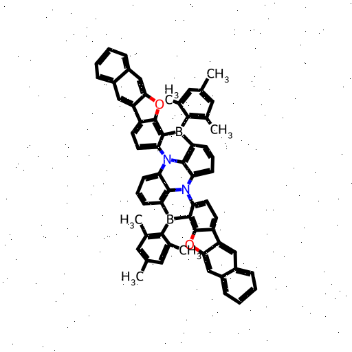 Cc1cc(C)c(B2c3cccc4c3N(c3cccc5c3N4c3ccc4c(oc6cc7ccccc7cc64)c3B5c3c(C)cc(C)cc3C)c3ccc4c(oc5cc6ccccc6cc54)c32)c(C)c1